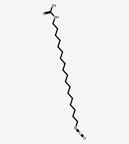 O=C=NCCCCCCCCCCCCCCCCCCNC(=S)S